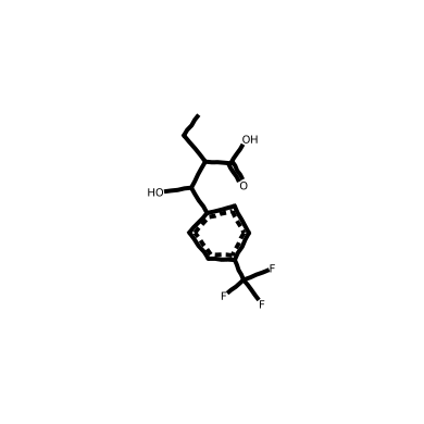 CCC(C(=O)O)C(O)c1ccc(C(F)(F)F)cc1